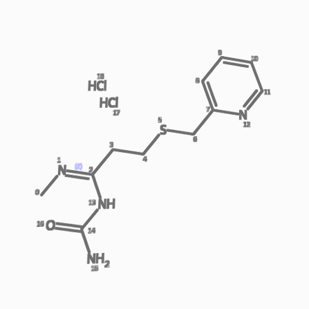 C/N=C(/CCSCc1ccccn1)NC(N)=O.Cl.Cl